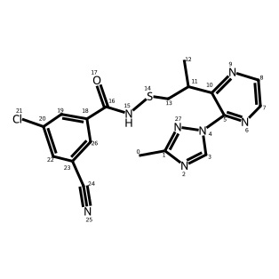 Cc1ncn(-c2nccnc2C(C)CSNC(=O)c2cc(Cl)cc(C#N)c2)n1